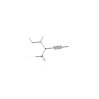 CC#CC(C(=O)O)C(O)CO